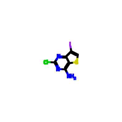 Nc1nc(Cl)nc2c(I)csc12